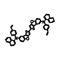 C=Cc1ccc(N(c2ccc3oc4cc(-c5cc6oc7ccc(N(c8ccc(C=C)cc8)c8cccc9ccccc89)cc7c6s5)sc4c3c2)c2cccc3ccccc23)cc1